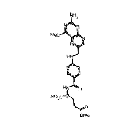 CNC(=O)CC[C@H](NC(=O)c1ccc(NCc2cnc3nc(N)nc(OC)c3n2)cc1)C(=O)O